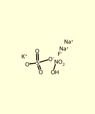 O=S(=O)([O-])[O-].O=[N+]([O-])O.[F-].[K+].[Na+].[Na+]